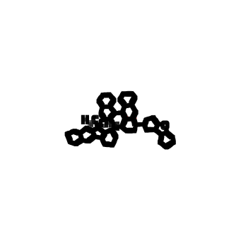 CC1(C)c2cc3ccccc3cc2-c2cccc(N(c3ccc(-c4ccc5oc6ccccc6c5c4)cc3)c3ccc4ccccc4c3-c3cccc4ccccc34)c21